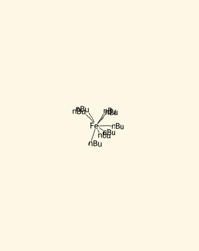 CCC[CH2][Fe]([CH2]CCC)([CH2]CCC)([CH2]CCC)([CH2]CCC)([CH2]CCC)([CH2]CCC)[CH2]CCC